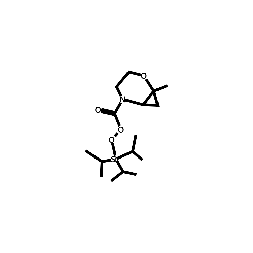 CC(C)[Si](OOC(=O)N1CCOC2(C)CC12)(C(C)C)C(C)C